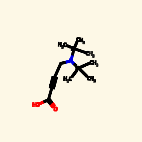 C[Si](C)(C)N(CC#CC(=O)O)[Si](C)(C)C